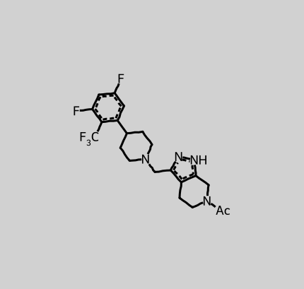 CC(=O)N1CCc2c(CN3CCC(c4cc(F)cc(F)c4C(F)(F)F)CC3)n[nH]c2C1